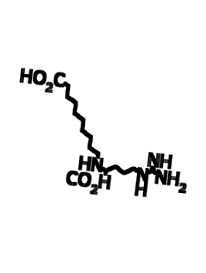 N=C(N)NCCC[C@H](NCCCCCCCCCC(=O)O)C(=O)O